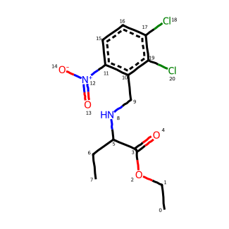 CCOC(=O)C(CC)NCc1c([N+](=O)[O-])ccc(Cl)c1Cl